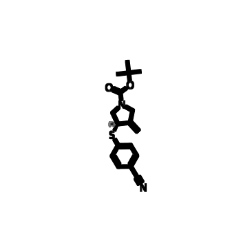 C=C1CN(C(=O)OC(C)(C)C)C[C@@H]1Sc1ccc(C#N)cc1